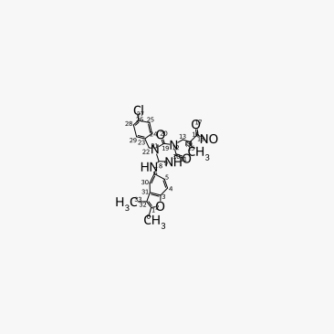 Cc1oc2ccc(NC3NC(=O)N(C[C@H](C)C(=O)N=O)C(=O)N3Cc3ccc(Cl)cc3)cc2c1C